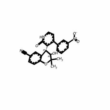 CC1(C)Oc2ccc(C#N)cc2[C@H](c2c(-c3cccc([N+](=O)[O-])c3)cc[nH]c2=O)[C@H]1O